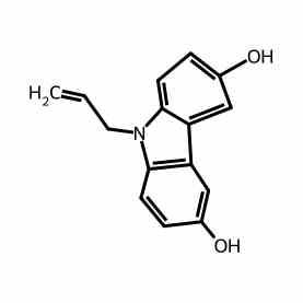 C=CCn1c2ccc(O)cc2c2cc(O)ccc21